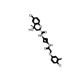 C[C@]1(O)C[C@@H](C(=O)NC23CC(NC(=O)COc4ccc(Cl)c(F)c4)(C2)C3)Oc2ccc(Cl)cc21